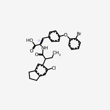 CCC(C(=O)N/C(=C\c1ccc(Oc2ccccc2Br)cc1)C(=O)O)c1cc2c(cc1Cl)CCC2